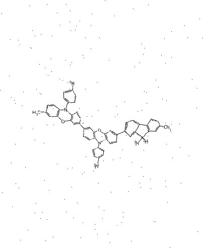 [3H]c1ccc(N2c3ccc(C)cc3Oc3cc(-c4ccc5c(c4)Oc4cc(-c6ccc7c(c6)C([3H])([3H])c6cc(C)ccc6-7)ccc4N5c4ccc([3H])cc4)ccc32)cc1